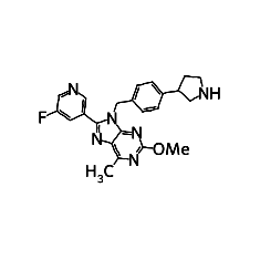 COc1nc(C)c2nc(-c3cncc(F)c3)n(Cc3ccc(C4CCNC4)cc3)c2n1